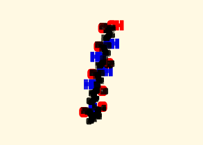 CC1=CC(=O)N(CCCC(=O)NCC(=O)NCC(=O)NCC(=O)NCCC(=O)O)C1=O